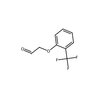 O=[C]COc1ccccc1C(F)(F)F